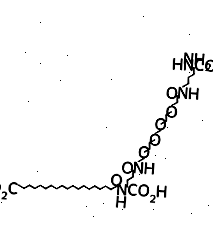 NN[C@@H](CCCCNC(=O)CCOCCOCCOCCOCCNC(=O)CC[C@H](NC(=O)CCCCCCCCCCCCCCCCCCC(=O)O)C(=O)O)C(=O)O